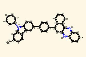 N#Cc1ccc2c3cc(-c4ccc(-c5cc6nc7ccccc7nc6c6ccccc56)cc4)ccc3n(-c3ccccc3)c2c1